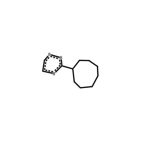 b1bc(C2CCCCCCC2)bcc1